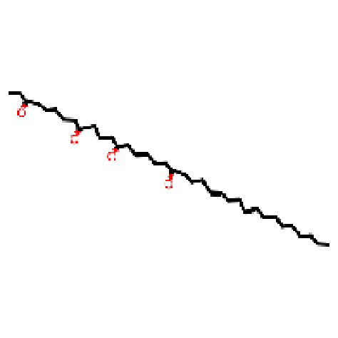 CCCCCCCCC=CC=CC=CCCCC(=O)CCC=CCC(=O)CCCC(=O)CCCCCC(=O)CC